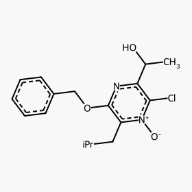 CC(C)Cc1c(OCc2ccccc2)nc(C(C)O)c(Cl)[n+]1[O-]